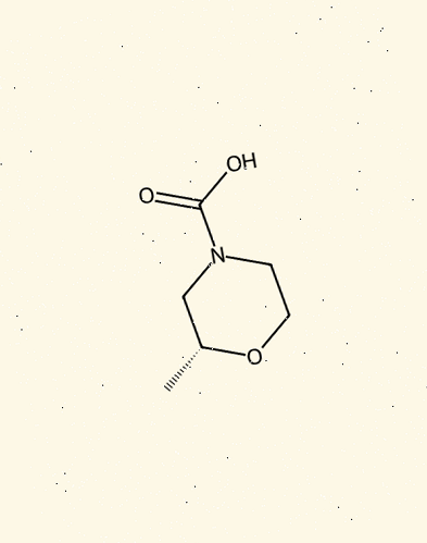 C[C@@H]1CN(C(=O)O)CCO1